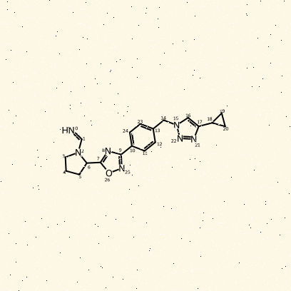 N=CN1CCCC1c1nc(-c2ccc(Cn3cc(C4CC4)nn3)cc2)no1